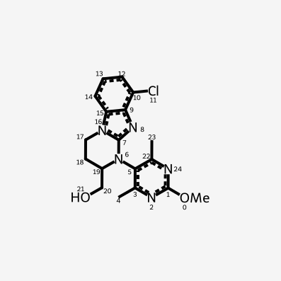 COc1nc(C)c(N2c3nc4c(Cl)cccc4n3CCC2CO)c(C)n1